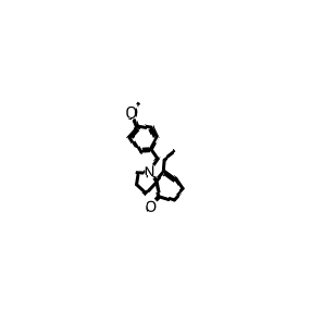 CCC1=CCCC(=O)C12CCCN2Cc1ccc(OC)cc1